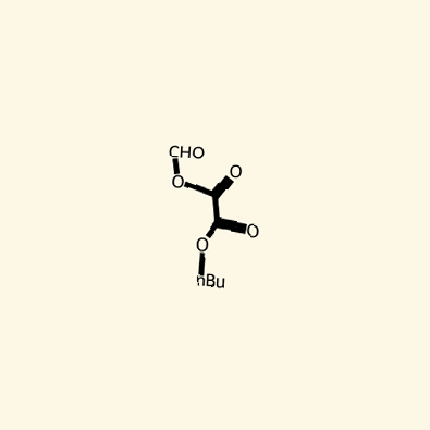 CCCCOC(=O)C(=O)OC=O